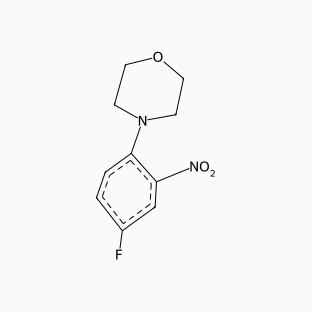 O=[N+]([O-])c1cc(F)ccc1N1CCOCC1